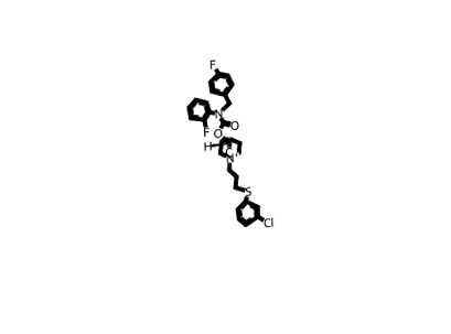 O=C(O[C@H]1C[N+]2(CCCSc3cccc(Cl)c3)CCC1CC2)N(Cc1ccc(F)cc1)c1ccccc1F